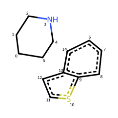 C1CCNCC1.c1ccc2sccc2c1